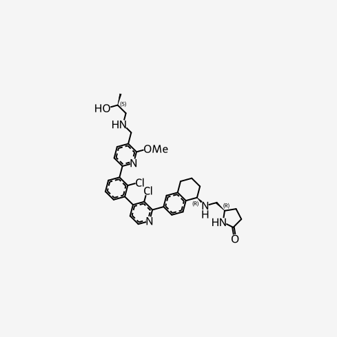 COc1nc(-c2cccc(-c3ccnc(-c4ccc5c(c4)CCC[C@H]5NC[C@H]4CCC(=O)N4)c3Cl)c2Cl)ccc1CNC[C@H](C)O